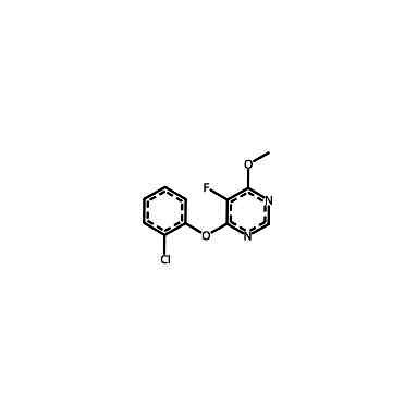 COc1ncnc(Oc2ccccc2Cl)c1F